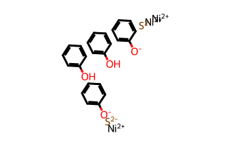 Oc1ccccc1.Oc1ccccc1.[Ni+2].[Ni+2].[Ni+2].[O-]c1ccccc1.[O-]c1ccccc1.[S-2].[S-2]